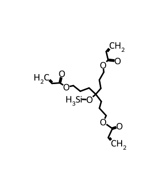 C=CC(=O)OCCCC(CCCOC(=O)C=C)(CCCOC(=O)C=C)O[SiH3]